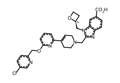 O=C(O)c1ccc2nc(CN3CC=C(c4cccc(OCc5ccc(Cl)cn5)n4)CC3)n(C[C@@H]3CCO3)c2c1